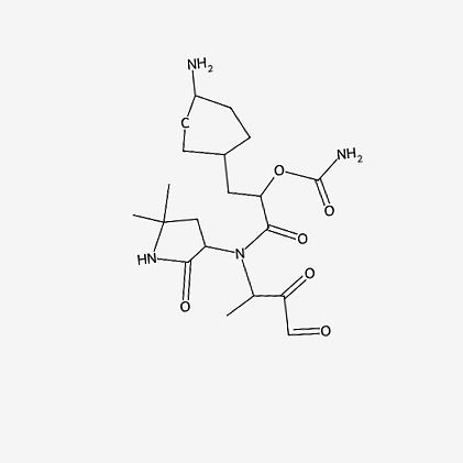 CC(C(=O)C=O)N(C(=O)C(CC1CCC(N)CC1)OC(N)=O)C1CC(C)(C)NC1=O